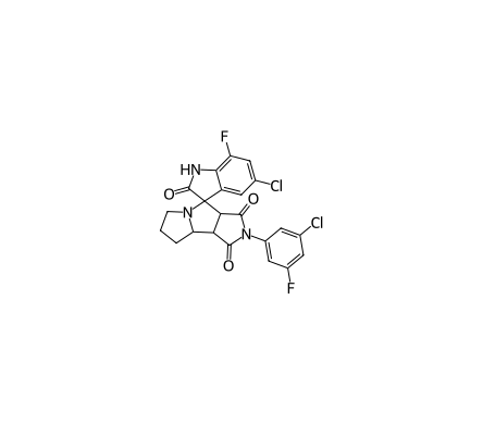 O=C1C2C3CCCN3C3(C(=O)Nc4c(F)cc(Cl)cc43)C2C(=O)N1c1cc(F)cc(Cl)c1